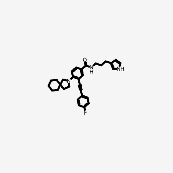 O=C(NCCCc1cc[nH]c1)c1ccc(N2CCC3(CCCCC3)C2)c(C#Cc2ccc(F)cc2)c1